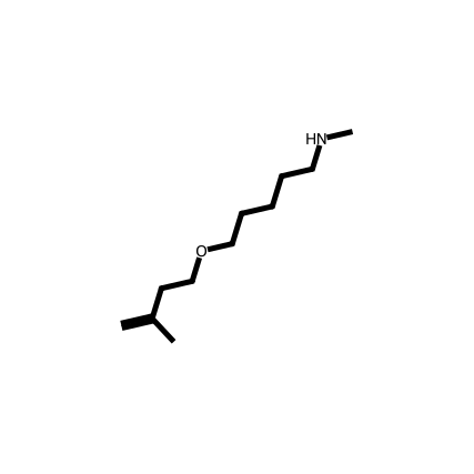 C=C(C)CCOCCCCCNC